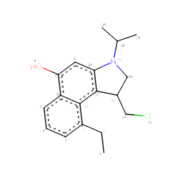 CCc1cccc2c(O)cc3c(c12)C(CCl)CN3C(C)C